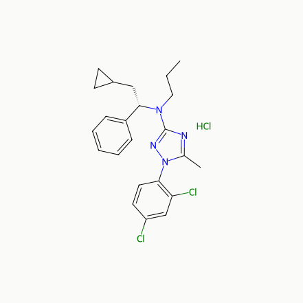 CCCN(c1nc(C)n(-c2ccc(Cl)cc2Cl)n1)[C@@H](CC1CC1)c1ccccc1.Cl